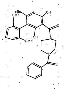 CCCCc1nc(O)c(C(=O)N2CCN(C(=O)c3ccccc3)CC2)c(O)c1-c1c(OC)cccc1OC